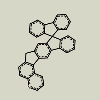 c1ccc2c(c1)-c1ccccc1C21c2ccccc2-c2cc3c(cc21)Cc1ccc2ncccc2c1-3